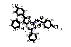 Cc1ccc(S(=O)(=O)/N=C(\N=C(/N)c2ccccc2)N2C[C@H](c3ccccc3)C(c3ccc(Cl)cc3)=N2)cc1